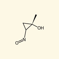 C[C@]1(O)CC1N=O